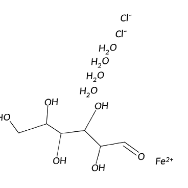 O.O.O.O.O=CC(O)C(O)C(O)C(O)CO.[Cl-].[Cl-].[Fe+2]